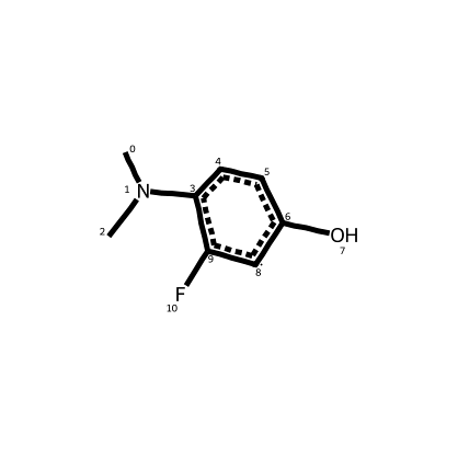 CN(C)c1ccc(O)[c]c1F